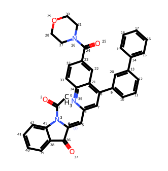 CC(=O)N1/C(=C\c2cc(-c3cccc(-c4ccccc4)c3)c3cc(C(=O)N4CCOCC4)ccc3n2)C(=O)c2ccccc21